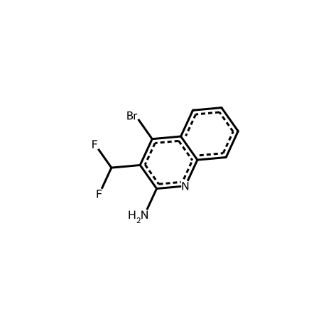 Nc1nc2ccccc2c(Br)c1C(F)F